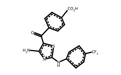 Nc1nc(Nc2ccc(C(F)(F)F)cc2)sc1C(=O)c1ccc(C(=O)O)cc1